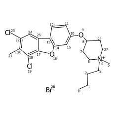 CCCC[N+]1(C)CCC(Oc2ccc3c(c2)oc2c(Cl)c(C)c(Cl)cc23)CC1.[Br-]